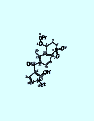 CCCOC1CCS(=O)(=O)c2ccc(C(=O)c3cnn(CC)c3O)c(C)c21